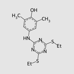 CCSc1nc(Nc2cc(C)c(O)c(C)c2)nc(SCC)n1